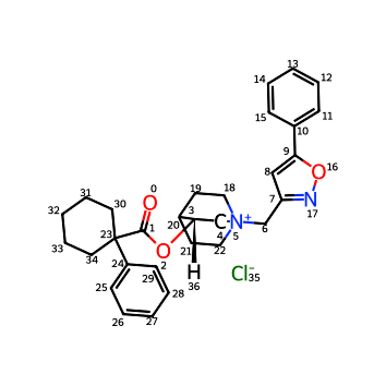 O=C(O[C@H]1C[N+]2(Cc3cc(-c4ccccc4)on3)CCC1CC2)C1(c2ccccc2)CCCCC1.[Cl-]